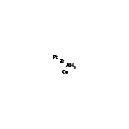 [AlH3].[Ce].[Pt].[Zr]